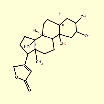 CC12CC(O)C(O)C[C@@H]1CC[C@H]1C2CCC2(C)C(C3=CC(=O)OC3)CCC12O